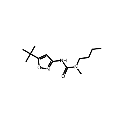 CCCCN(C)C(=O)Nc1cc(C(C)(C)C)on1